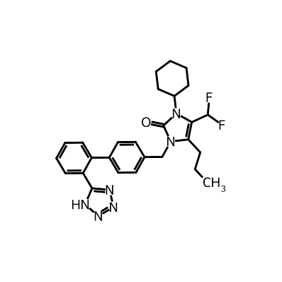 CCCc1c(C(F)F)n(C2CCCCC2)c(=O)n1Cc1ccc(-c2ccccc2-c2nnn[nH]2)cc1